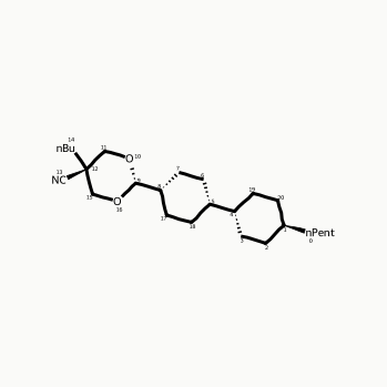 CCCCC[C@H]1CC[C@H]([C@H]2CC[C@@H]([C@H]3OC[C@@](C#N)(CCCC)CO3)CC2)CC1